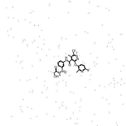 Cc1nc(F)ccc1Oc1nnc(C(F)(F)F)c(C)c1C(=O)Nc1cccc([S@@+]([O-])N(C)C(=O)[C@@H](C)O)c1